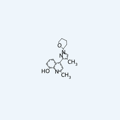 Cc1cc(-c2nn(C3CCCCO3)cc2C)c2cccc(O)c2n1